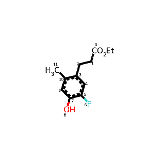 CCOC(=O)CCc1cc(F)c(O)cc1C